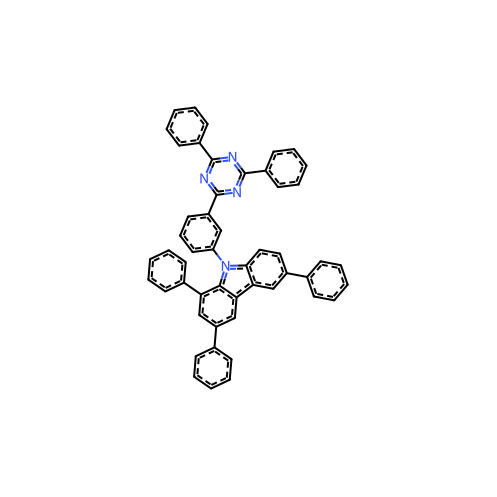 c1ccc(-c2ccc3c(c2)c2cc(-c4ccccc4)cc(-c4ccccc4)c2n3-c2cccc(-c3nc(-c4ccccc4)nc(-c4ccccc4)n3)c2)cc1